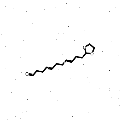 O=CCCC=CCCC=CCCC1OCCO1